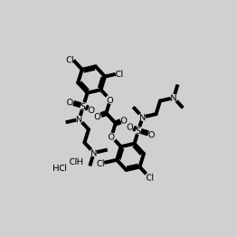 CN(C)CCN(C)S(=O)(=O)c1cc(Cl)cc(Cl)c1OC(=O)C(=O)Oc1c(Cl)cc(Cl)cc1S(=O)(=O)N(C)CCN(C)C.Cl.Cl